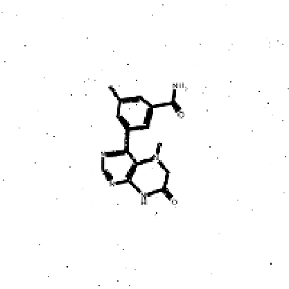 Cc1cc(C(N)=O)cc(-c2ncnc3c2N(C)CC(=O)N3)c1